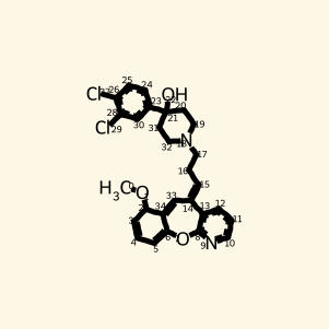 COC1C=CC=C2Oc3ncccc3C(=CCCN3CCC(O)(c4ccc(Cl)c(Cl)c4)CC3)C=C21